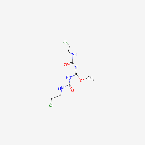 COC(=NC(=O)NCCCl)NC(=O)NCCCl